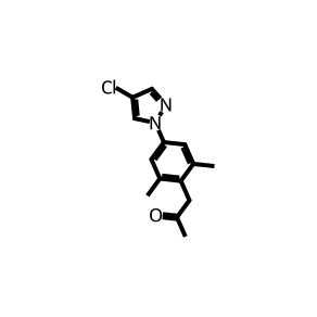 CC(=O)Cc1c(C)cc(-n2cc(Cl)cn2)cc1C